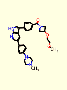 COCCOC1CN(C(=O)c2ccc(-c3c[nH]c4ncc(-c5ccc(N6CCN(C)CC6)cc5)cc34)cc2)C1